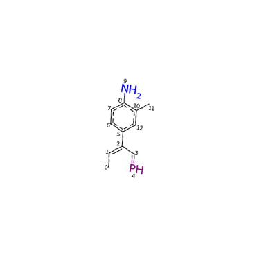 C/C=C(\C=P)c1ccc(N)c(C)c1